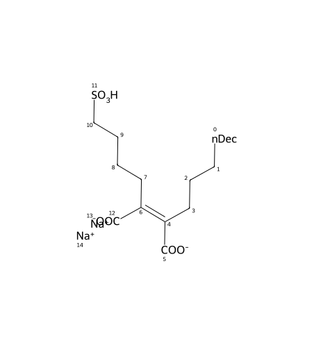 CCCCCCCCCCCCCC(C(=O)[O-])=C(CCCCS(=O)(=O)O)C(=O)[O-].[Na+].[Na+]